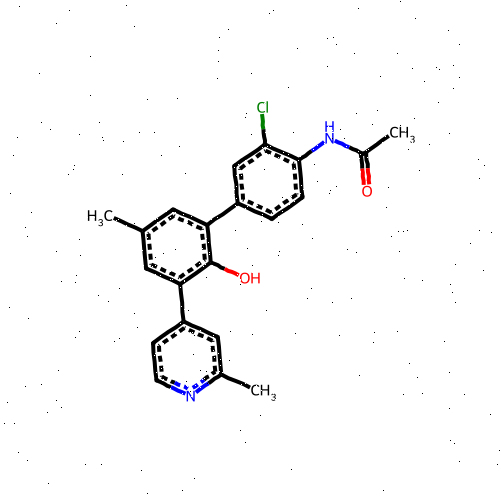 CC(=O)Nc1ccc(-c2cc(C)cc(-c3ccnc(C)c3)c2O)cc1Cl